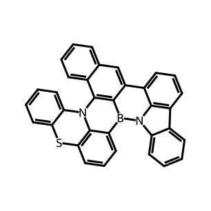 c1ccc2c(c1)Sc1cccc3c1N2c1c2c(cc4ccccc14)-c1cccc4c5ccccc5n(c14)B32